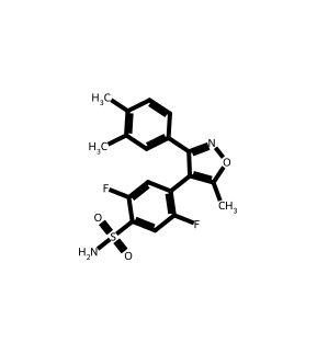 Cc1ccc(-c2noc(C)c2-c2cc(F)c(S(N)(=O)=O)cc2F)cc1C